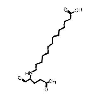 O=CC(CCC(=O)O)NCCCCCCCCCCCCCC(=O)O